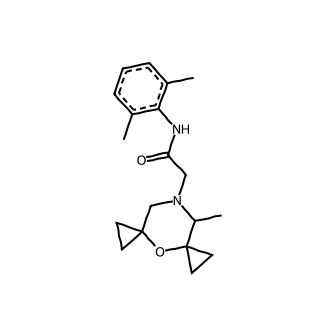 Cc1cccc(C)c1NC(=O)CN1CC2(CC2)OC2(CC2)C1C